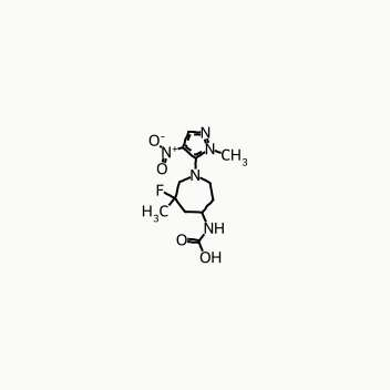 Cn1ncc([N+](=O)[O-])c1N1CCC(NC(=O)O)CC(C)(F)C1